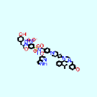 COc1cccc(CN2CCN(C3CC4(CCN(c5ccc(C(=O)NS(=O)(=O)c6cc7c(c([N+](=O)[O-])c6)N[C@H](CC6CCC(O)CC6)CO7)c(Oc6cnc7[nH]ccc7c6)c5)CC4)C3)C(c3ccccc3C(C)C)C2)c1